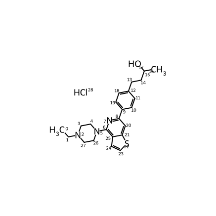 CCN1CCN(c2nc(-c3ccc(CCC(C)O)cc3)cc3sccc23)CC1.Cl